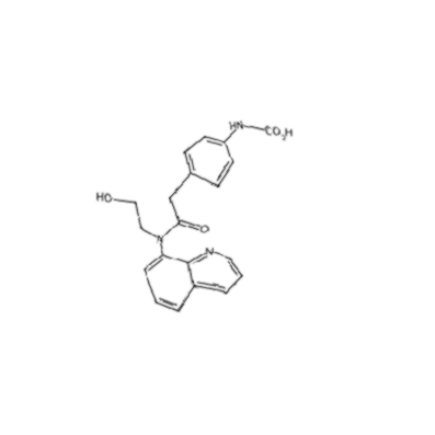 O=C(O)Nc1ccc(CC(=O)N(CCO)c2cccc3cccnc23)cc1